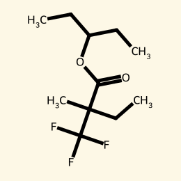 CCC(CC)OC(=O)C(C)(CC)C(F)(F)F